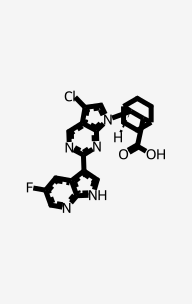 O=C(O)C1C2CCC(CC2)[C@@H]1n1cc(Cl)c2cnc(-c3c[nH]c4ncc(F)cc34)nc21